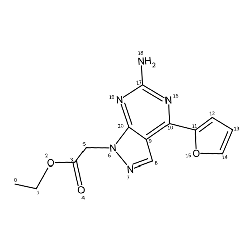 CCOC(=O)Cn1ncc2c(-c3ccco3)nc(N)nc21